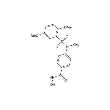 COc1ccc(OC)c(S(=O)(=O)N(C)c2ccc(C(=O)NO)cc2)c1